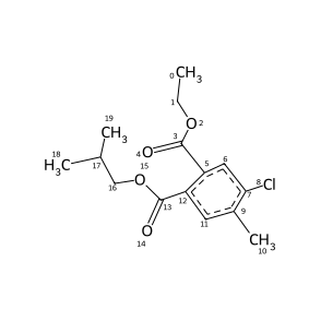 CCOC(=O)c1cc(Cl)c(C)cc1C(=O)OCC(C)C